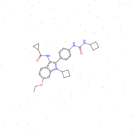 CCOc1ccc2c(NC(=O)C3CC3)c(-c3ccc(NC(=O)NC4CCC4)cc3)n(C3CCC3)c2c1